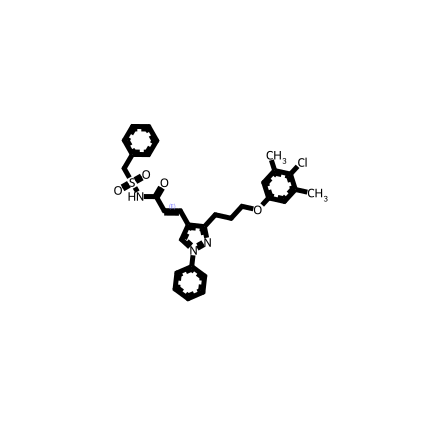 Cc1cc(OCCCc2nn(-c3ccccc3)cc2/C=C/C(=O)NS(=O)(=O)Cc2ccccc2)cc(C)c1Cl